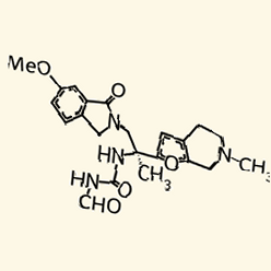 COc1ccc2c(c1)C(=O)N(C[C@](C)(NC(=O)NC=O)c1cc3c(o1)CN(C)CC3)C2